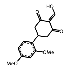 COc1ccc(C2CC(=O)C(=CO)C(=O)C2)c(OC)c1